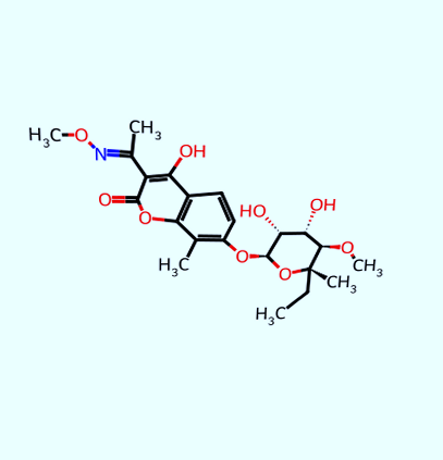 CC[C@]1(C)O[C@@H](Oc2ccc3c(O)c(/C(C)=N/OC)c(=O)oc3c2C)[C@H](O)[C@H](O)[C@H]1OC